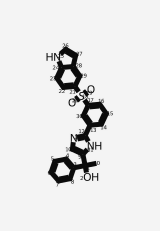 CC(O)(c1ccccc1)c1cnc(-c2cccc(S(=O)(=O)c3ccc4[nH]ccc4c3)c2)[nH]1